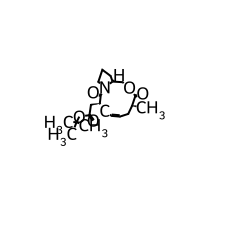 C[C@H]1C/C=C\C[C@@H](CC(=O)OC(C)(C)C)C(=O)N2CCC[C@H]2COC1=O